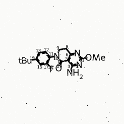 COc1nc(N)c2c(n1)CCN(c1ccc(C(C)(C)C)cc1F)C2=O